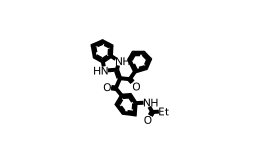 CCC(=O)Nc1cccc(C(=O)C(C(=O)c2ccccc2)=C2Nc3ccccc3N2)c1